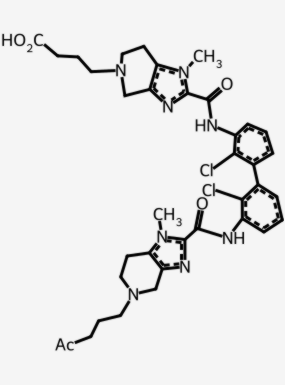 CC(=O)CCCN1CCc2c(nc(C(=O)Nc3cccc(-c4cccc(NC(=O)c5nc6c(n5C)CCN(CCCC(=O)O)C6)c4Cl)c3Cl)n2C)C1